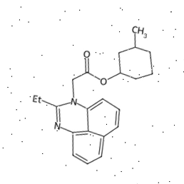 CCC1=Nc2cccc3cccc(c23)N1CC(=O)OC1CCCC(C)C1